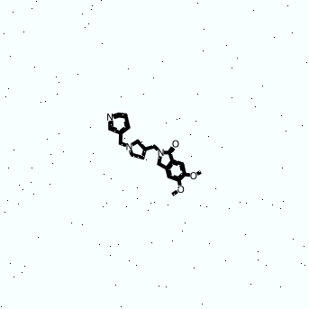 COc1cc2c(cc1OC)C(=O)N(CC1CCN(Cc3cccnc3)C1)C2